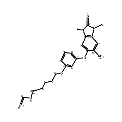 Cn1c(=O)n(C)c2cc(Oc3cccc(OCCCCBOC=N)c3)c(N)cc21